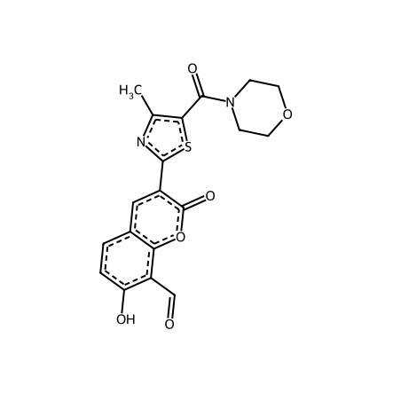 Cc1nc(-c2cc3ccc(O)c(C=O)c3oc2=O)sc1C(=O)N1CCOCC1